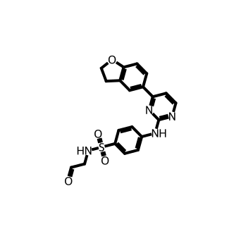 O=CCNS(=O)(=O)c1ccc(Nc2nccc(-c3ccc4c(c3)CCO4)n2)cc1